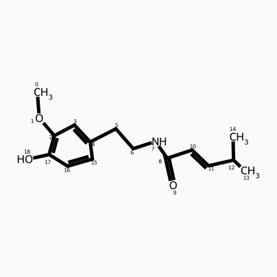 COc1cc(CCNC(=O)/C=C/C(C)C)ccc1O